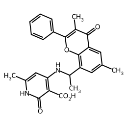 Cc1cc(C(C)Nc2cc(C)[nH]c(=O)c2C(=O)O)c2oc(-c3ccccc3)c(C)c(=O)c2c1